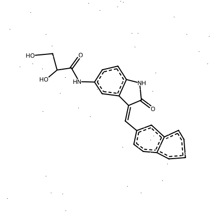 O=C1Nc2ccc(NC(=O)C(O)CO)cc2C1=Cc1ccc2ccccc2c1